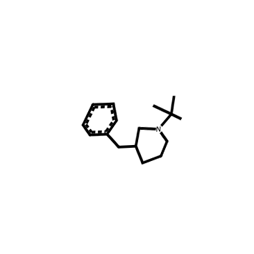 CC(C)(C)N1CCCC(Cc2ccccc2)C1